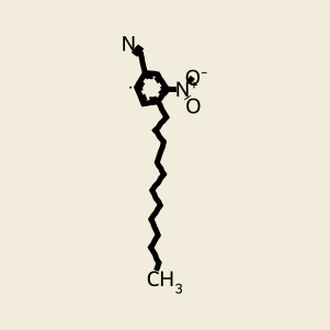 CCCCCCCCCCCCc1c[c]c(C#N)cc1[N+](=O)[O-]